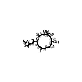 C/C(=C\c1csc(C)n1)[C@@H]1C/C=C(/I)C/C=C/[C@H](C)[C@H](O)[C@@H](C)C(=O)C(C)(C)[C@@H](O)CC(=O)O1